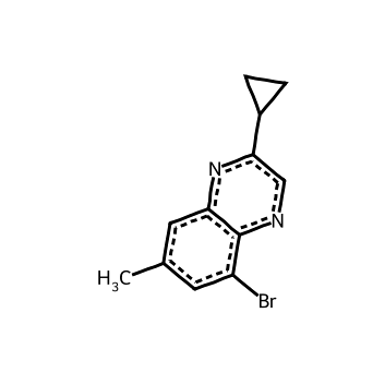 Cc1cc(Br)c2ncc(C3CC3)nc2c1